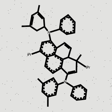 CC1=CC(N(c2ccccc2)c2cc(C(C)C)c3ccc4c5c3c2C=CC5C(C)(C(C)C)C=C4N(c2ccccc2)c2cc(C)cc(C)c2)CC(C)=C1